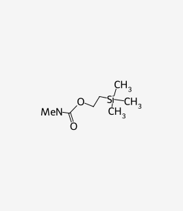 CNC(=O)OCC[Si](C)(C)C